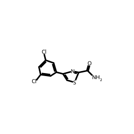 NC(=O)c1nc(-c2cc(Cl)cc(Cl)c2)cs1